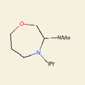 CNC1COCCCN1C(C)C